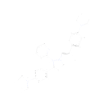 CCN(CC)c1ccc(C(C)=CN2CCC(c3ccc(N(CC)CC)cc3)N2c2ccccn2)cc1